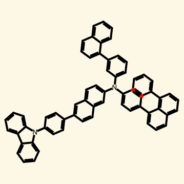 c1ccc(-c2cccc3cccc(-c4ccc(N(c5cccc(-c6cccc7ccccc67)c5)c5ccc6cc(-c7ccc(-n8c9ccccc9c9ccccc98)cc7)ccc6c5)cc4)c23)cc1